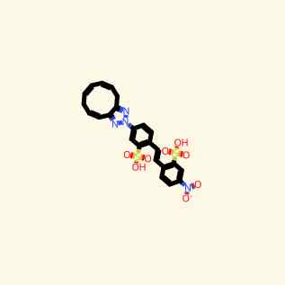 O=[N+]([O-])c1ccc(/C=C/c2ccc(-n3nc4c(n3)C/C=C\C=C/C/C=C\4)cc2S(=O)(=O)O)c(S(=O)(=O)O)c1